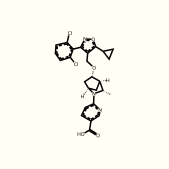 C[C@H]1[C@H]2C[C@H](C[C@@H]2OCc2c(-c3c(Cl)cccc3Cl)noc2C2CC2)N1c1ccc(C(=O)O)cn1